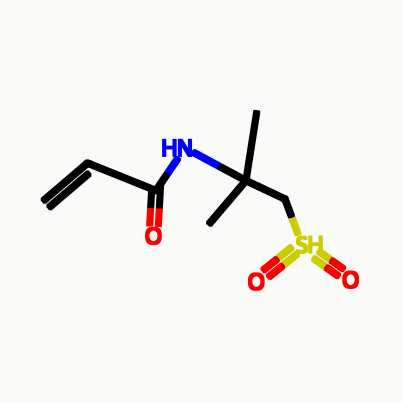 C=CC(=O)NC(C)(C)C[SH](=O)=O